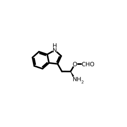 N[C@@H](Cc1c[nH]c2ccccc12)OC=O